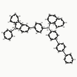 c1ccc(-c2ccc(-c3ccc(N(c4ccc(-c5ccc6c(c5)c5ccccc5n6-c5ccccc5)cc4)c4cccc5ccccc45)cc3)cc2)cc1